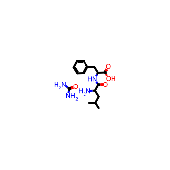 CC(C)CC(N)C(=O)NC(Cc1ccccc1)C(=O)O.NC(N)=O